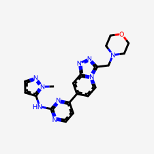 Cn1nccc1Nc1nccc(-c2ccn3c(CN4CCOCC4)nnc3c2)n1